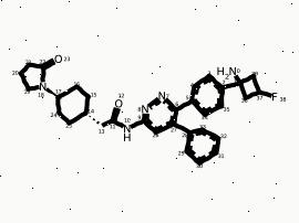 NC1(c2ccc(-c3nnc(NC(=O)C[C@H]4CC[C@H](N5CCCC5=O)CC4)cc3-c3ccccc3)cc2)CC(F)C1